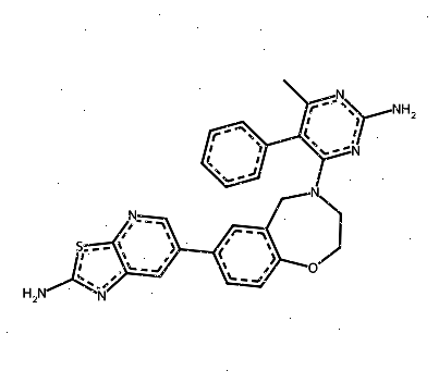 Cc1nc(N)nc(N2CCOc3ccc(-c4cnc5sc(N)nc5c4)cc3C2)c1-c1ccccc1